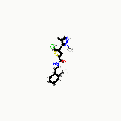 CCn1ncc(C)c1-c1cc(C(=O)NCCc2ccccc2C(F)(F)F)sc1Cl